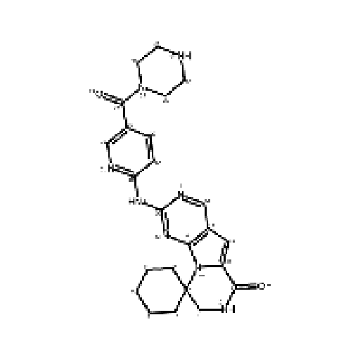 O=C1NCC2(CCCCC2)n2c1cc1cnc(Nc3ccc(C(=O)N4CCNCC4)cn3)nc12